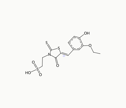 CCOc1cc(/C=C2\SC(=S)N(CCS(=O)(=O)O)C2=O)ccc1O